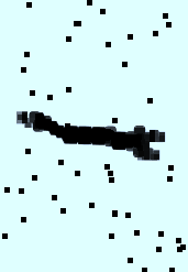 C=CC(=O)OCCCCC[C@H]1CC[C@H](c2ccc(-c3ccc(C(=O)Oc4ccc(C5O[C@@H](C(=O)OCCCC)[C@H](C(=O)OCCCC)O5)cc4)cc3)cc2)CC1